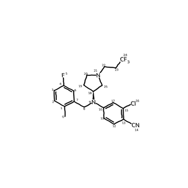 Cc1ccc(F)cc1CN(c1ccc(C#N)c(Cl)c1)[C@H]1CCN(CCC(F)(F)F)C1